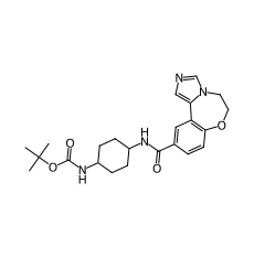 CC(C)(C)OC(=O)NC1CCC(NC(=O)c2ccc3c(c2)-c2cncn2CCO3)CC1